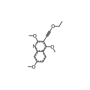 CCOC#Cc1c(OC)nc2cc(OC)ccc2c1OC